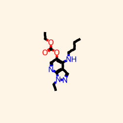 CCCCNc1c(OC(=O)OCC)cnc2c1cnn2CC